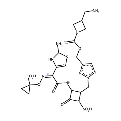 NCC1CN(C(=O)OCc2cnn(CC3C(NC(=O)/C(=N\OC4(C(=O)O)CC4)C4=CSC(N)N4)C(=O)N3S(=O)(=O)O)n2)C1